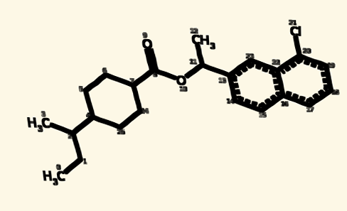 CCC(C)C1CCC(C(=O)OC(C)c2ccc3cccc(Cl)c3c2)CC1